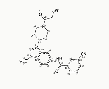 CC(C)CC(=O)N1CCC(c2cn(C)c3ccc(NC(=O)c4cccc(C#N)c4)cc23)CC1